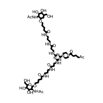 CC(=O)CCCC(=O)N1CCN(c2nc(NCCC(=O)NCCCNC(=O)CCCCOC3CC(CO)C(O)C(O)C3NC(C)=O)nc(NCCC(=O)NCCCNC(=O)CCCCOC3OC(CO)C(O)C(O)C3NC(C)=O)n2)CC1